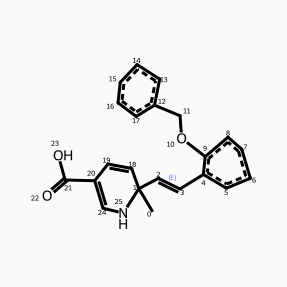 CC1(/C=C/c2ccccc2OCc2ccccc2)C=CC(C(=O)O)=CN1